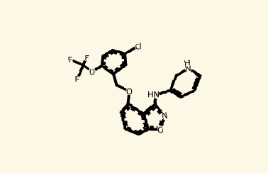 FC(F)(F)Oc1ccc(Cl)cc1COc1cccc2onc(NC3=CC=CNC3)c12